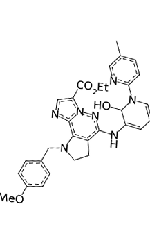 CCOC(=O)c1cnc2c3c(c(NC4=CC=CN(c5ccc(C)cn5)C4O)nn12)CCN3Cc1ccc(OC)cc1